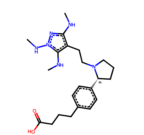 CNc1nn(NC)c(NC)c1CCN1CCC[C@@H]1c1ccc(CCCC(=O)O)cc1